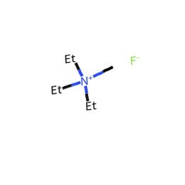 CC[N+](C)(CC)CC.[F-]